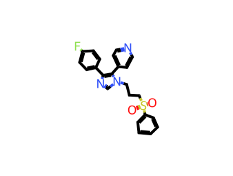 O=S(=O)(CCCn1cnc(-c2ccc(F)cc2)c1-c1ccncc1)c1ccccc1